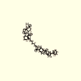 O=C1CCC(N2C(=O)c3cccc(NCCCCCNC(=O)c4ccc(C(=O)Nc5nc(-c6ccccn6)cs5)cc4)c3C2=O)C(=O)N1